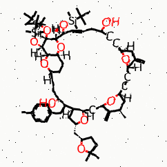 C=C1C2C[C@@H]3O[C@H](C[C@H]4CCC(C)(C)O4)[C@H](C)[C@H]3C(Cc3ccc(C)cc3)C(O)C[C@H]3CC[C@@H]4O[C@H]([C@@H](O[Si](C)(C)C(C)(C)C)[C@@H](O[Si](C)(C)C(C)(C)C)[C@H]4O3)[C@@H](O[Si](C)(C)C(C)(C)C)/C=C/CC(O)CC[C@H]3CC(=C)[C@H](CC[C@@H](C[C@H]1C)O2)O3